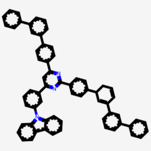 C1=CC(c2cccc(-c3ccccc3)c2)=CC(c2ccc(-c3nc(-c4ccc(-c5cccc(-c6ccccc6)c5)cc4)cc(-c4cccc(-n5c6ccccc6c6ccccc65)c4)n3)cc2)C1